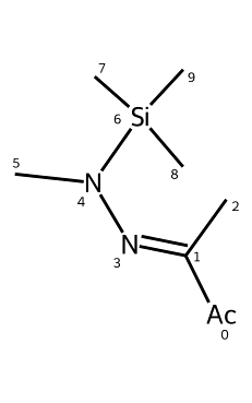 CC(=O)C(C)=NN(C)[Si](C)(C)C